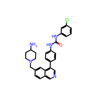 NC1CCN(Cc2ccc3cncc(-c4ccc(NC(=O)Nc5cccc(Cl)c5)cc4)c3c2)CC1